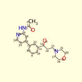 CC(=O)Nc1cc(-c2cccc(C(=O)CCN3CCOCC3)c2)ccn1